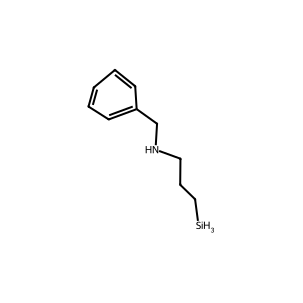 [SiH3]CCCNCc1ccccc1